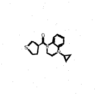 O=C([C@H]1CCSC1)N1CCN(C2CC2)c2ccccc21